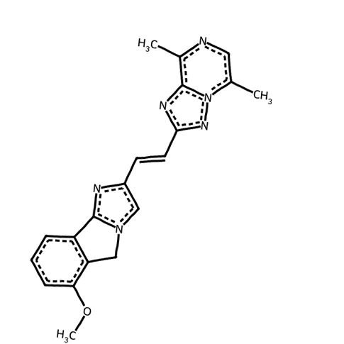 COc1cccc2c1Cn1cc(/C=C/c3nc4c(C)ncc(C)n4n3)nc1-2